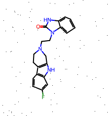 O=c1[nH]c2ccccc2n1CCN1CCc2c([nH]c3cc(F)ccc23)C1